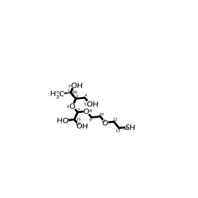 C[C@@H](O)C(CO)OC(OCCOCCS)C(O)O